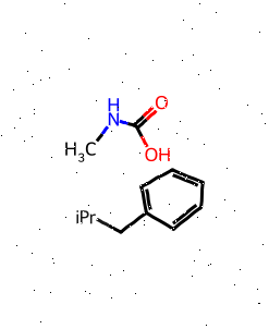 CC(C)Cc1ccccc1.CNC(=O)O